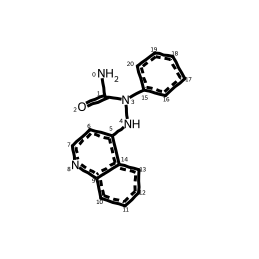 NC(=O)N(Nc1ccnc2ccccc12)c1ccccc1